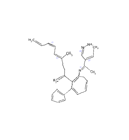 C=C/C=C\C=C(/C)CCC(=C)c1c(/N=C(C)/C(/C=N\N)=C/C)cccc1-c1ccccc1